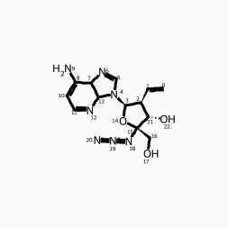 C=C[C@@H]1[C@H](N2C=NC3C(N)=CC=NC32)O[C@@](CO)(N=[N+]=[N-])[C@H]1O